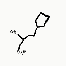 CCOC(=O)C(C=O)CC1CCCC1